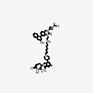 CCC(=O)N1CC(N2Cc3ccc(-c4cc(O)cc5ccccc45)cc3N(CCNCCCCCCCN3CCC(c4cc(F)cc5c4CN(C4CCC(=O)NC4=O)C5=O)CC3)C2=O)C1